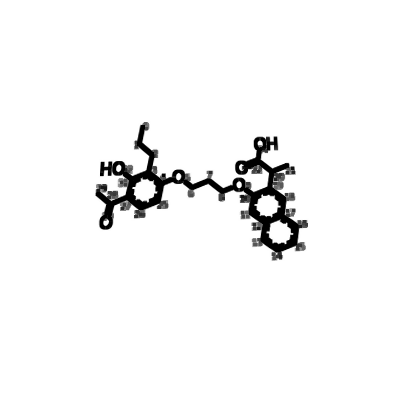 CCCc1c(OCCCOc2cc3ccccc3cc2C(C)C(=O)O)ccc(C(C)=O)c1O